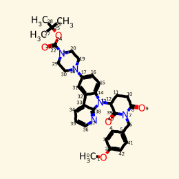 COc1ccc(CN2C(=O)CCC(n3c4ccc(N5CCN(C(=O)OC(C)(C)C)CC5)cc4c4cccnc43)C2=O)cc1